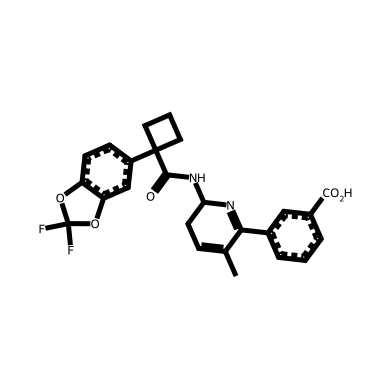 CC1=CCC(NC(=O)C2(c3ccc4c(c3)OC(F)(F)O4)CCC2)N=C1c1cccc(C(=O)O)c1